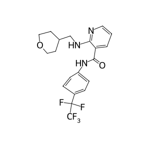 O=C(Nc1ccc(C(F)(F)C(F)(F)F)cc1)c1cccnc1NCC1CCOCC1